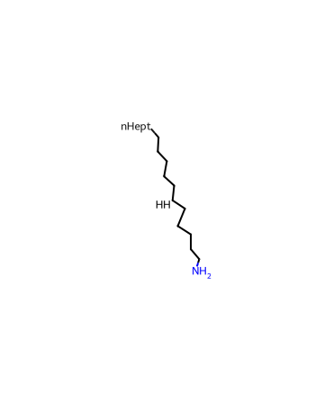 CCCCCCCCCCCCCCCCCCN.[HH]